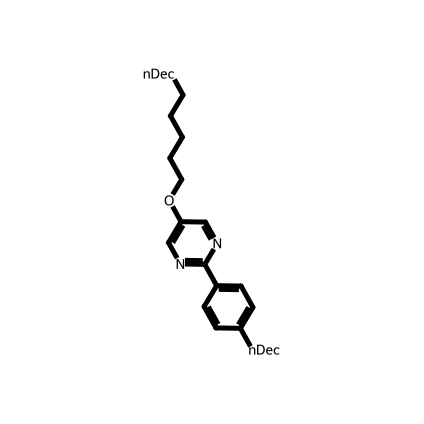 CCCCCCCCCCCCCCCOc1cnc(-c2ccc(CCCCCCCCCC)cc2)nc1